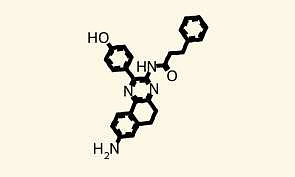 Nc1ccc2c(c1)CCc1nc(NC(=O)CCc3ccccc3)c(-c3ccc(O)cc3)nc1-2